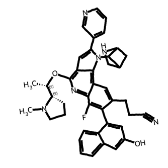 C[C@H](Oc1nc2c(F)c(-c3cc(O)cc4ccccc34)c(CCC#N)cc2c2c1cc(-c1cccnc1)n2C1C2CNC1C2)[C@@H]1CCCN1C